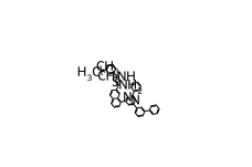 CC(C)(C)c1cccc(C(=N)SC(N)c2ccc3cccc(-c4cc(-c5cccc(-c6ccccc6)c5)nc(-c5ccccc5)n4)c3c2)c1